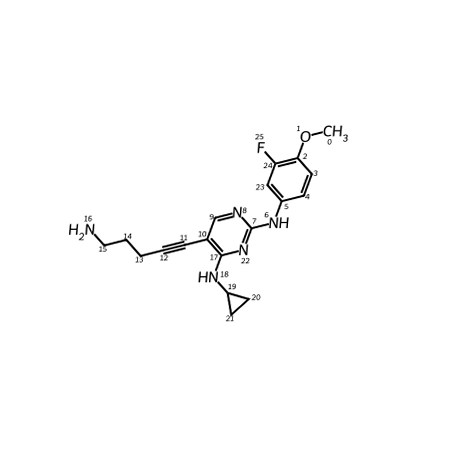 COc1ccc(Nc2ncc(C#CCCCN)c(NC3CC3)n2)cc1F